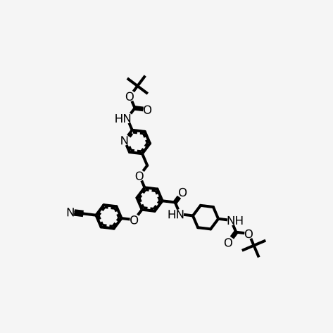 CC(C)(C)OC(=O)Nc1ccc(COc2cc(Oc3ccc(C#N)cc3)cc(C(=O)NC3CCC(NC(=O)OC(C)(C)C)CC3)c2)cn1